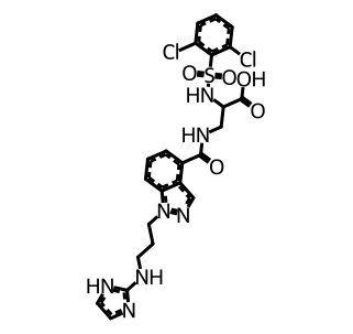 O=C(NCC(NS(=O)(=O)c1c(Cl)cccc1Cl)C(=O)O)c1cccc2c1cnn2CCCNc1ncc[nH]1